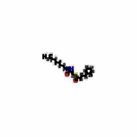 CCCCCCCCNC(=O)C=CSC(=O)CCCc1ccccc1